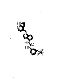 O=C(Nc1cccc(OC(F)(F)F)c1)Nc1cccc2c1CCN2Cc1ccnc2[nH]ccc12